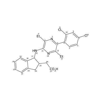 CCc1nc(-c2ccc(Cl)cc2Cl)c(CC)nc1NC1c2ccccc2CC1CC(=O)O